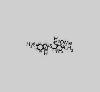 COc1c(C)cnc(CSc2cc3cc(C)ccc3[nH]2)c1C